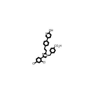 O=C(O)c1ccc(Cn2cc(-c3ccc(Cl)cc3Cl)nc2/C=C/c2ccc(-c3ccc(O)nc3)cc2)cc1